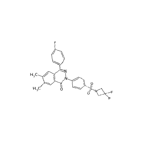 Cc1cc2c(-c3ccc(F)cc3)nn(-c3ccc(S(=O)(=O)N4CC(F)(F)C4)cc3)c(=O)c2cc1C